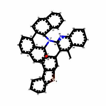 Cc1c(-c2ccc3c(c2)sc2ccccc23)c(N2c3c(ccc4ccccc34)-c3cccc4cccc2c34)nc2ccccc12